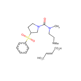 CNCCN(C)C(=O)N1CCC(S(=O)(=O)c2ccccc2)C1.O=C(O)C=CC(=O)O